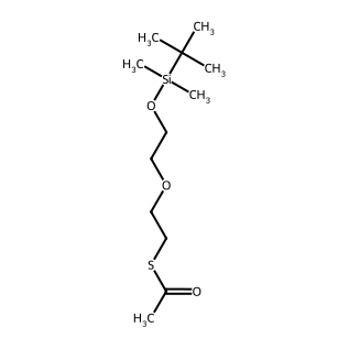 CC(=O)SCCOCCO[Si](C)(C)C(C)(C)C